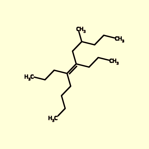 CCCC/C(CCC)=C(\CCC)CC(C)CCC